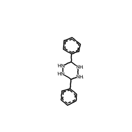 c1ccc(C2NNC(c3ccccc3)NN2)cc1